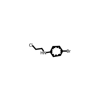 ClCCNc1ccc(Br)cc1